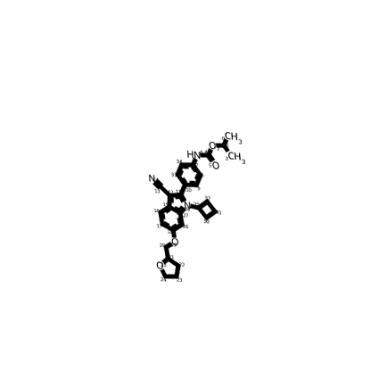 CC(C)OC(=O)Nc1ccc(-c2c(C#N)c3ccc(OCC4CCCO4)cc3n2C2CCC2)cc1